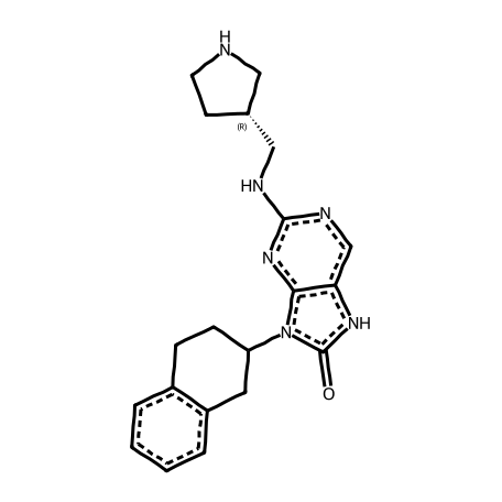 O=c1[nH]c2cnc(NC[C@@H]3CCNC3)nc2n1C1CCc2ccccc2C1